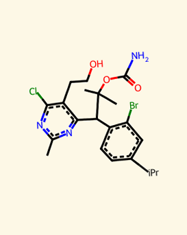 Cc1nc(Cl)c(CCO)c(C(c2ccc(C(C)C)cc2Br)C(C)(C)OC(N)=O)n1